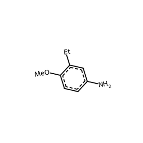 CCc1cc(N)ccc1OC